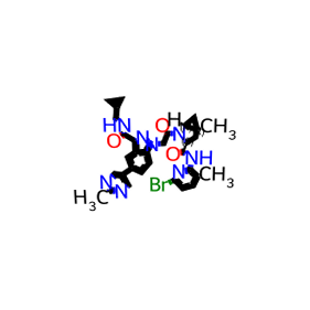 Cc1ncc(-c2ccc3c(c2)c(C(=O)NCC2CC2)nn3CC(=O)N2[C@H](C(=O)Nc3nc(Br)ccc3C)C[C@@]3(C)C[C@@H]23)cn1